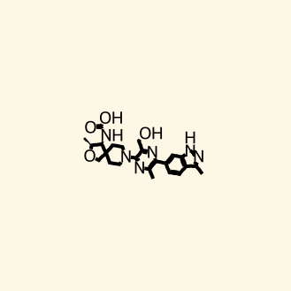 Cc1nc(N2CCC3(CC2)CO[C@@H](C)[C@H]3NC(=O)O)c(CO)nc1-c1ccc2c(C)n[nH]c2c1